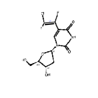 O=c1[nH]c(=O)n([C@H]2C[C@H](O)[C@@H](CO)O2)cc1/C(F)=C(\F)Cl